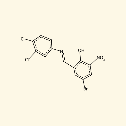 O=[N+]([O-])c1cc(Br)cc(/C=N/c2ccc(Cl)c(Cl)c2)c1O